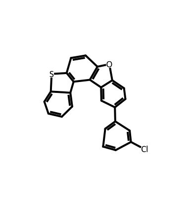 Clc1cccc(-c2ccc3oc4ccc5sc6ccccc6c5c4c3c2)c1